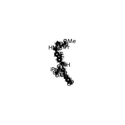 COC(=O)NC(C(=O)N1CCC[C@H]1c1nc(-c2ccc3c(c2)C(F)(F)c2cc(-c4c[nH]c([C@@H]5CC(OC(=O)N6Cc7cc8c(cc7C6)OCO8)CN5C(=O)[C@@H](NC(=O)OC)C(C)C)n4)ccc2-3)c[nH]1)C(C)C